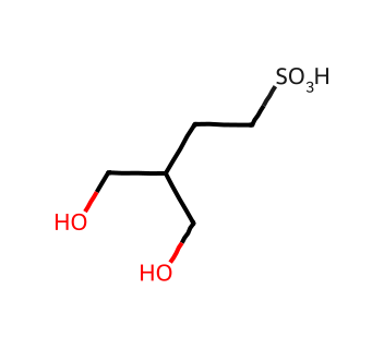 O=S(=O)(O)CCC(CO)CO